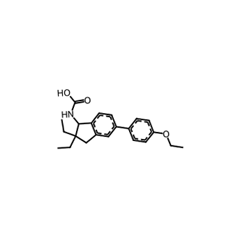 CCOc1ccc(-c2ccc3c(c2)CC(CC)(CC)C3NC(=O)O)cc1